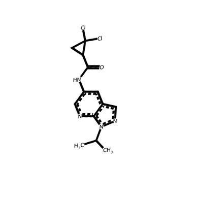 CC(C)n1ncc2cc(NC(=O)C3CC3(Cl)Cl)cnc21